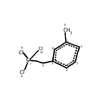 Cc1cccc(C[Si](Cl)(Cl)Cl)c1